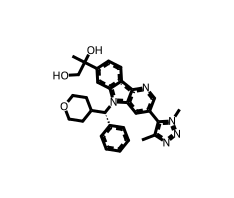 Cc1nnn(C)c1-c1cnc2c3ccc(C(C)(O)CO)cc3n([C@H](c3ccccc3)C3CCOCC3)c2c1